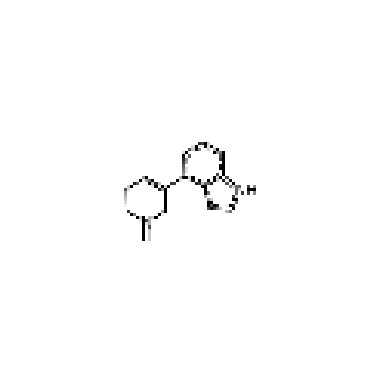 C1=C(c2cccc3[nH]ccc23)CNCC1